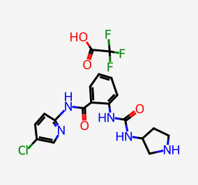 O=C(Nc1ccccc1C(=O)Nc1ccc(Cl)cn1)NC1CCNC1.O=C(O)C(F)(F)F